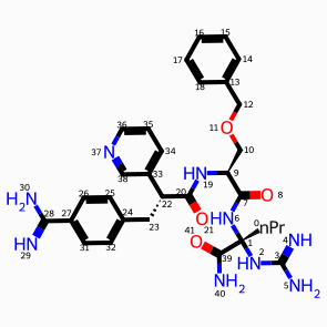 CCC[C@](NC(=N)N)(NC(=O)[C@H](COCc1ccccc1)NC(=O)[C@H](Cc1ccc(C(=N)N)cc1)c1cccnc1)C(N)=O